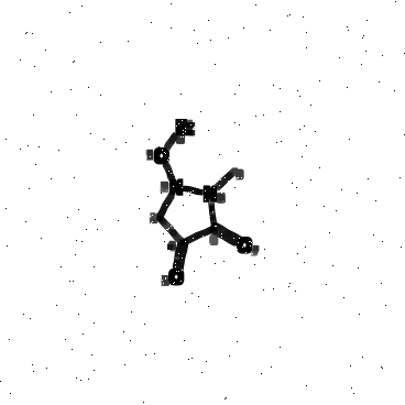 CCON1CC(=O)C(=O)N1C